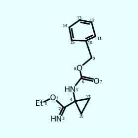 CCOC(=N)C1(NC(=O)OCc2ccccc2)CC1